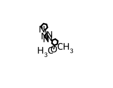 COc1cc(-n2nnc(-c3ccccn3)n2)ccc1C